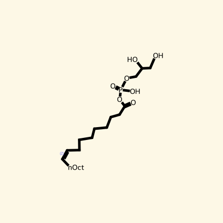 CCCCCCCC/C=C\CCCCCCCC(=O)OP(=O)(O)OCC(O)CO